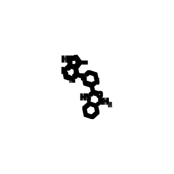 Cc1c[nH]c2ncnc(N3C=C(C(=O)N[C@@H]4CCCC[C@@H]4N)SCC3)c12